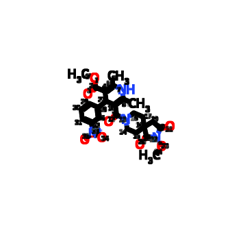 COC(=O)C1=C(C)NC(C)=C(C(=O)N2CCC3(CC2)CC(=O)N(OC)C3=O)C1c1cccc([N+](=O)[O-])c1